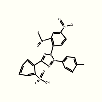 Cc1ccc(-[n+]2nc(-c3ccccc3S(=O)(=O)O)nn2-c2ccc([N+](=O)[O-])cc2[N+](=O)[O-])cc1